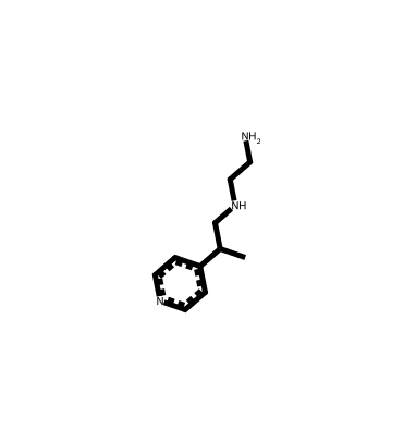 CC(CNCCN)c1ccncc1